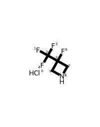 Cl.FC(F)(F)C1(F)CNC1